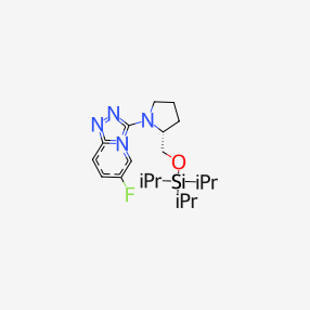 CC(C)[Si](OC[C@H]1CCCN1c1nnc2ccc(F)cn12)(C(C)C)C(C)C